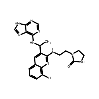 CC(Nc1ncnc2[nH]cnc12)c1cc2cccc(Cl)c2nc1NCCN1CCNC1=O